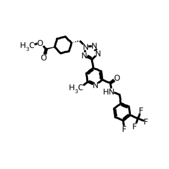 COC(=O)[C@H]1CC[C@H](Cn2nnc(-c3cc(C)nc(C(=O)NCc4ccc(F)c(C(F)(F)F)c4)c3)n2)CC1